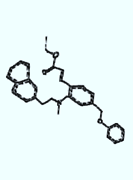 CCOC(=O)C=Cc1ccc(COc2ccccc2)cc1N(C)CCc1ccc2ccccc2c1